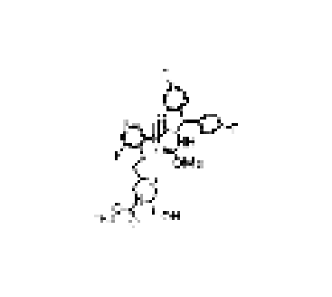 COC(=O)N[C@@H](C(=O)Nc1cncc(F)c1CC[C@@H]1CN(C(=O)OC(C)(C)C)[C@H](CO)CO1)C(c1ccc(F)cc1)c1ccc(F)cc1